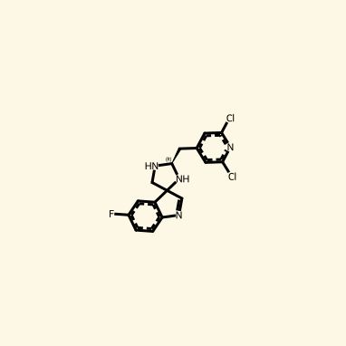 Fc1ccc2c(c1)C1(C=N2)CN[C@@H](Cc2cc(Cl)nc(Cl)c2)N1